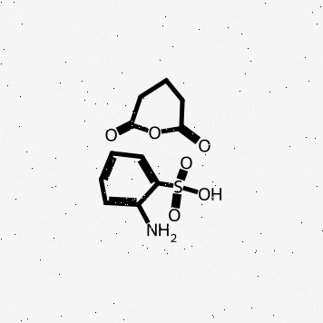 Nc1ccccc1S(=O)(=O)O.O=C1CCCC(=O)O1